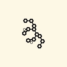 c1ccc(-c2cccc(-c3ccc4cc(-c5cc(-c6ccc7oc8ccccc8c7c6)c6cc(-c7cccc(-c8ccccc8)c7)ccc6c5)cc(-c5ccc6oc7ccccc7c6c5)c4c3)c2)cc1